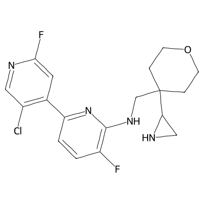 Fc1cc(-c2ccc(F)c(NCC3(C4CN4)CCOCC3)n2)c(Cl)cn1